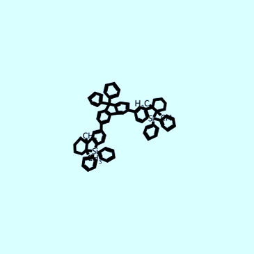 CC12CCCCC1(C)[Si](c1ccccc1)(c1ccccc1)c1ccc(-c3ccc4c(c3)-c3cc(-c5ccc6c(c5)C5(C)CCCCC5(C)[Si]6(c5ccccc5)c5ccccc5)ccc3C4(c3ccccc3)c3ccccc3)cc12